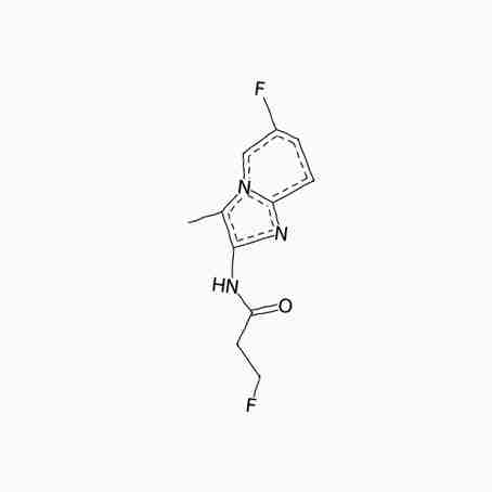 Cc1c(NC(=O)CCF)nc2ccc(F)cn12